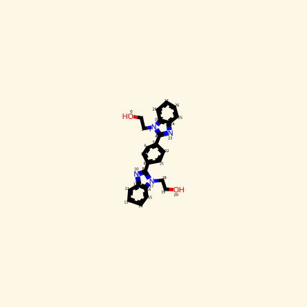 OCCn1c(-c2ccc(-c3nc4ccccc4n3CCO)cc2)nc2ccccc21